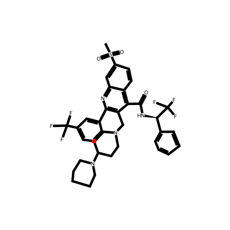 CS(=O)(=O)c1ccc2c(C(=O)N[C@H](c3ccccc3)C(F)(F)F)c(CN3CCC(N4CCCCC4)CC3)c(-c3cccc(C(F)(F)F)c3)nc2c1